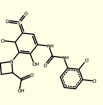 O=C(NC1=CC(=S(=O)=O)C(Cl)C(N2CCC2C(=O)O)=C1O)Nc1cccc(Cl)c1Cl